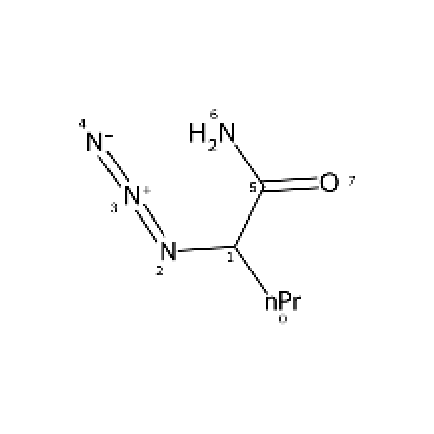 CCCC(N=[N+]=[N-])C(N)=O